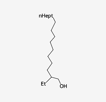 CCCCCCCCCCCCCCCC(CC)CO